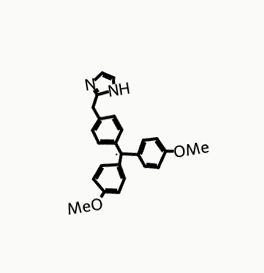 COc1ccc([C](c2ccc(Cc3ncc[nH]3)cc2)c2ccc(OC)cc2)cc1